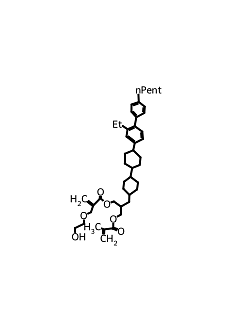 C=C(C)C(=O)OCC(COC(=O)C(=C)COCCO)CC1CCC(C2CCC(c3ccc(-c4ccc(CCCCC)cc4)c(CC)c3)CC2)CC1